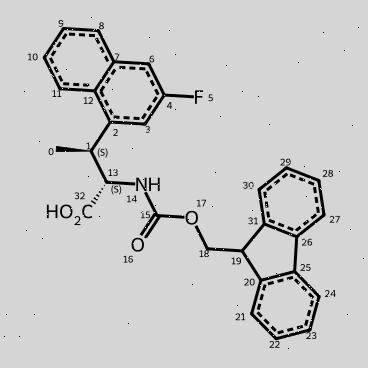 C[C@@H](c1cc(F)cc2ccccc12)[C@H](NC(=O)OCC1c2ccccc2-c2ccccc21)C(=O)O